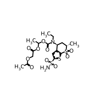 CCN(C(=O)OC(C)OC(=O)COC(C)=O)[C@H]1C[C@H](C)S(=O)(=O)c2sc(S(N)(=O)=O)cc21